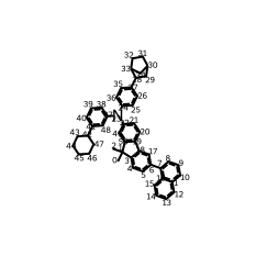 CC1(C)c2ccc(-c3cccc4ccccc34)cc2-c2ccc(N(c3ccc(C4CC5CCC4C5)cc3)c3cccc(C4CCCCC4)c3)cc21